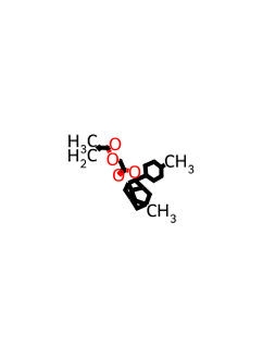 C=C(C)C(=O)OCC(=O)OC1(C2CCC(C)CC2)C2CC3CC1CC(C)(C3)C2